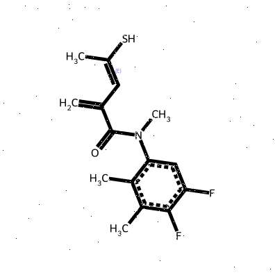 C=C(/C=C(\C)S)C(=O)N(C)c1cc(F)c(F)c(C)c1C